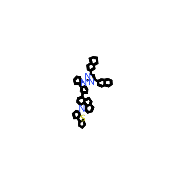 c1cc2c(c(-n3c4cccc5ccc6c(-c7ccc8c(c7)c7ccccc7n8-c7nc(-c8ccc9ccccc9c8)cc(-c8ccc9ccccc9c8)n7)ccc3c6c54)c1)SC1CCCC21